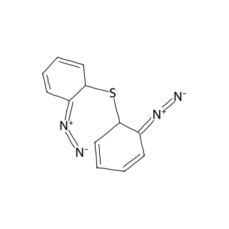 [N-]=[N+]=C1C=CC=CC1SC1C=CC=CC1=[N+]=[N-]